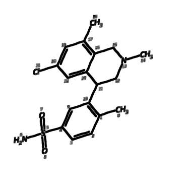 Cc1ccc(S(N)(=O)=O)cc1C1CN(C)Cc2c(C)cc(Cl)cc21